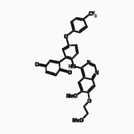 COCCOc1cc2ncnc(Nc3ccc(Oc4ccc(C(F)(F)F)cc4)cc3C3=CC(=O)C=CC3=O)c2cc1OC